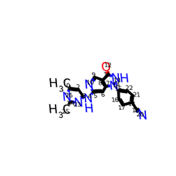 Cc1cc(Nc2cc3c(cn2)c(=O)[nH]n3-c2ccc(C#N)cc2)nc(C)n1